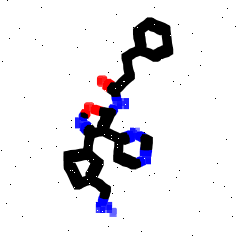 NCc1cccc(-c2noc(NC(=O)CCc3ccccc3)c2-c2ccncn2)c1